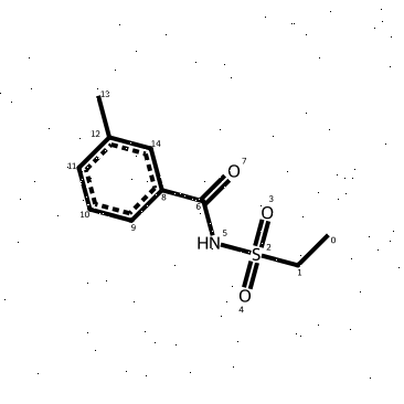 CCS(=O)(=O)NC(=O)c1cccc(C)c1